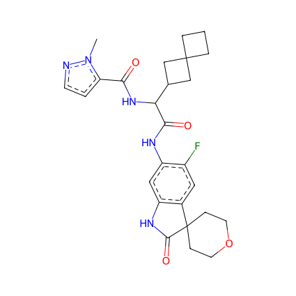 Cn1nccc1C(=O)NC(C(=O)Nc1cc2c(cc1F)C1(CCOCC1)C(=O)N2)C1CC2(CCC2)C1